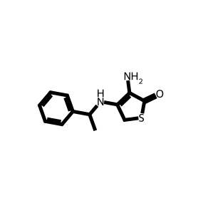 CC(NC1=C(N)C(=O)SC1)c1ccccc1